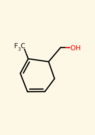 OCC1CC=CC=C1C(F)(F)F